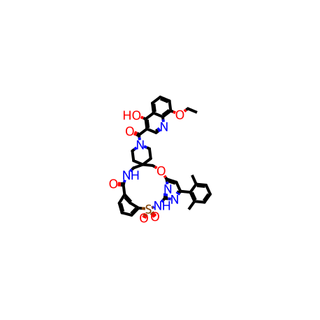 CCOc1cccc2c(O)c(C(=O)N3CCC4(CC3)CNC(=O)c3cccc(c3)S(=O)(=O)Nc3nc(cc(-c5c(C)cccc5C)n3)OC4)cnc12